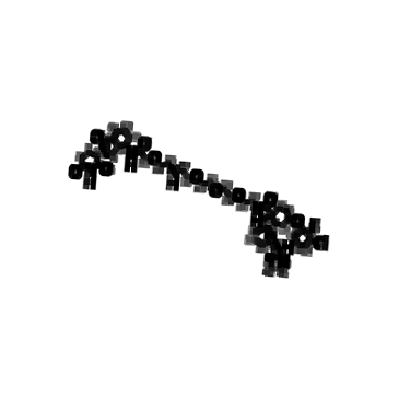 O=C1CCC(N2Cc3c(NC(=O)COCCNCCOCCOCCOCCNC(=O)[C@]4(Cc5cccc(Nc6nccs6)n5)CC[C@@H](Oc5cccc(Cl)c5F)CC4)cccc3C2=O)C(=O)N1